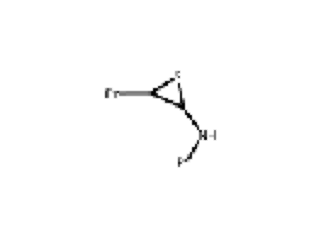 CC(C)NC1SC1C(C)C